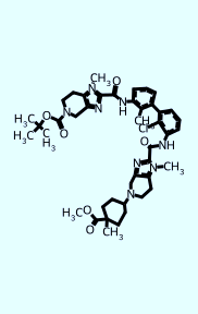 COC(=O)C1(C)CCC(N2CCc3c(nc(C(=O)Nc4cccc(-c5cccc(NC(=O)c6nc7c(n6C)CCN(C(=O)OC(C)(C)C)C7)c5C)c4Cl)n3C)C2)CC1